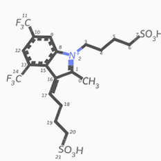 CC1=[N+](CCCCS(=O)(=O)O)c2cc(C(F)(F)F)cc(C(F)(F)F)c2/C1=C/CCCS(=O)(=O)O